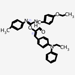 CCOc1ccc(CN/C(=N/c2ccc(C)cc2)O/C(C=O)=C/c2ccc(N(CC)c3ccccc3)cc2)cc1